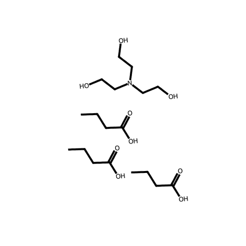 CCCC(=O)O.CCCC(=O)O.CCCC(=O)O.OCCN(CCO)CCO